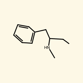 CCC(Cc1ccccc1)NC